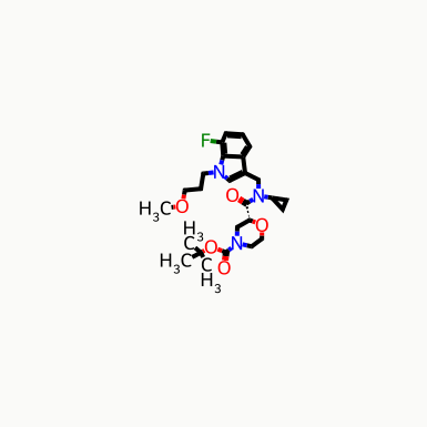 COCCCn1cc(CN(C(=O)[C@H]2CN(C(=O)OC(C)(C)C)CCO2)C2CC2)c2cccc(F)c21